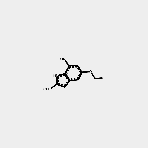 O=Cc1cc2cc(OCF)cc(N=O)c2[nH]1